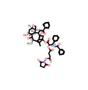 CC(=O)O[C@H]1C(=O)[C@@]2(C)[C@H](C(CC(=O)c3ccccc3)[C@]3(O)CC4(OC(=O)C(OC(=O)CCC(=O)ON5C(=O)CCC5=O)[C@@H](NC(=O)c5ccccc5)c5ccccc5)C(C)=C1[C@@]43C)[C@]1(OC(C)=O)CO[C@@H]1C[C@@H]2O